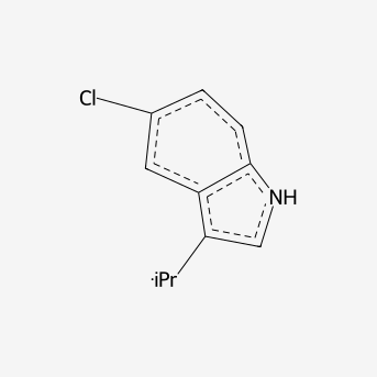 C[C](C)c1c[nH]c2ccc(Cl)cc12